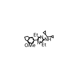 CCc1nc(-c2cc3c(cc2OC)CCC3)c(CC)nc1NC(C1CC1)C1CC1